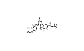 COc1cc(/C=C2/C(C)=C(CC(=O)NCc3ccco3)c3cc(F)ccc32)cc(OC)c1O